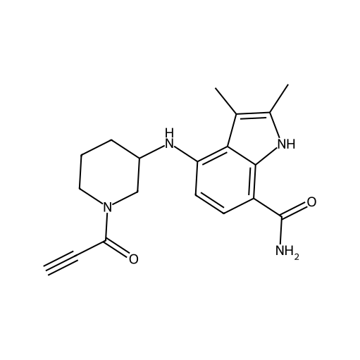 C#CC(=O)N1CCCC(Nc2ccc(C(N)=O)c3[nH]c(C)c(C)c23)C1